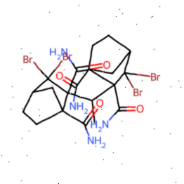 CC(C1(C(N)=O)C2(C(N)=O)CCC(C2)C1(Br)Br)C1(C(N)=O)C2(C(N)=O)CCC(C2)C1(Br)Br